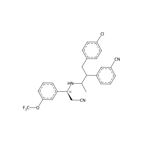 CC(N[C@@H](CC#N)c1cccc(OC(F)(F)F)c1)C(Cc1ccc(Cl)cc1)c1cccc(C#N)c1